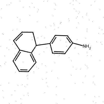 Nc1ccc(C2CC=Cc3ccccc32)cc1